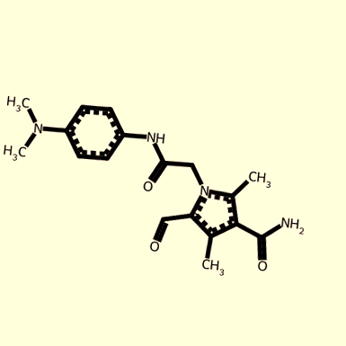 Cc1c(C(N)=O)c(C)n(CC(=O)Nc2ccc(N(C)C)cc2)c1C=O